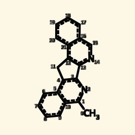 Cc1nc2c(c3ccccc13)Cc1c-2ncc2ccccc12